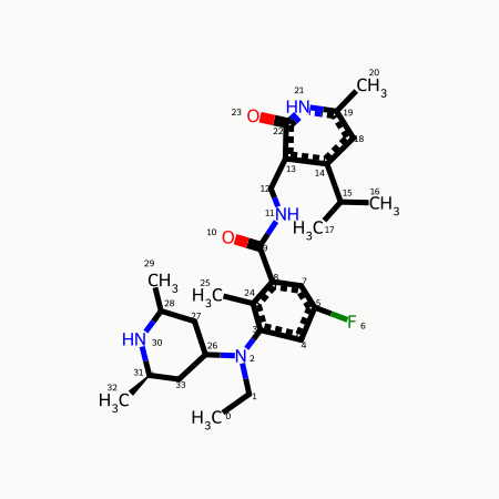 CCN(c1cc(F)cc(C(=O)NCc2c(C(C)C)cc(C)[nH]c2=O)c1C)C1CC(C)N[C@H](C)C1